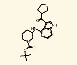 CC(C)(C)OC(=O)N1CCC[C@@H](Nc2ncnc3[nH]cc(C(=O)C4CCOC4)c23)C1